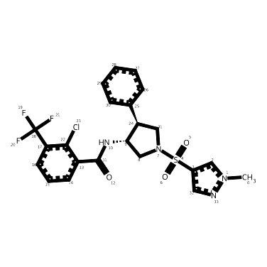 Cn1cc(S(=O)(=O)N2C[C@H](NC(=O)c3cccc(C(F)(F)F)c3Cl)[C@@H](c3ccccc3)C2)cn1